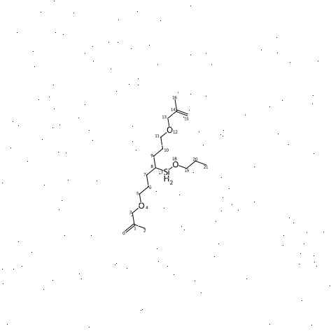 C=C(C)COCCCC(CCCOCC(=C)C)[SiH2]OCCC